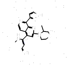 CN/C(=C\C=N)c1cc(N2CCOCC2C)nc2c(-c3cc[nH]n3)nccc12